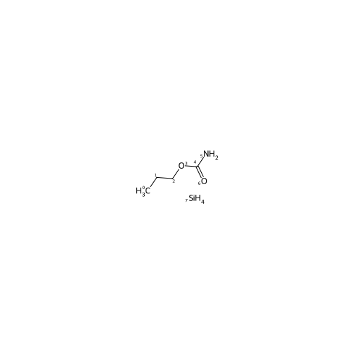 CCCOC(N)=O.[SiH4]